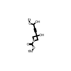 CCOC(O)C#CC1(O)CN(C(=O)OC(C)(C)C)C1